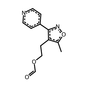 Cc1onc(-c2ccncc2)c1CCOC=O